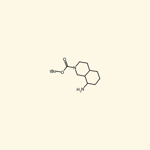 CC(C)(C)OC(=O)N1CCC2CCCC(N)C2C1